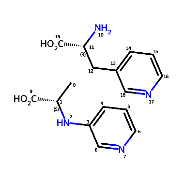 C[C@H](Nc1cccnc1)C(=O)O.N[C@H](Cc1cccnc1)C(=O)O